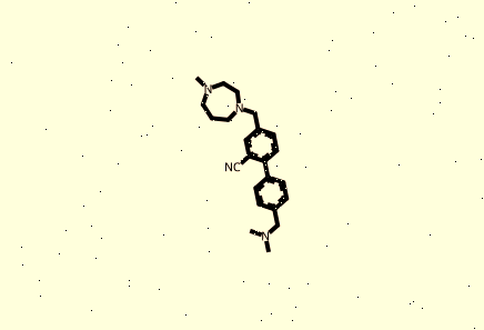 CN(C)Cc1ccc(-c2ccc(CN3CCCN(C)CC3)cc2C#N)cc1